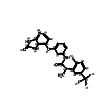 CN(C(=O)Nc1cccc(Oc2ccnc3[nH]c(=O)[nH]c23)c1)c1cc(C(F)(F)F)ccc1F